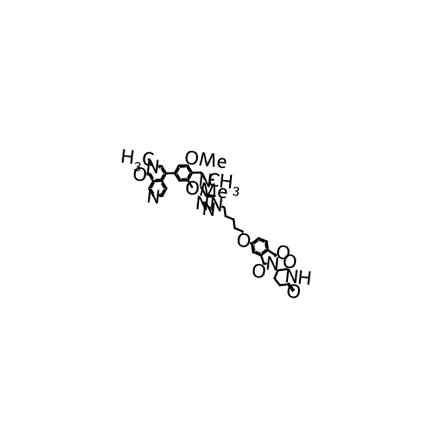 COc1cc(-c2cn(C)c(=O)c3cnccc23)cc(OC)c1CN(C)Cc1cn(CCCCCOc2ccc3c(c2)C(=O)N(C2CCC(=O)NC2=O)C3=O)nn1